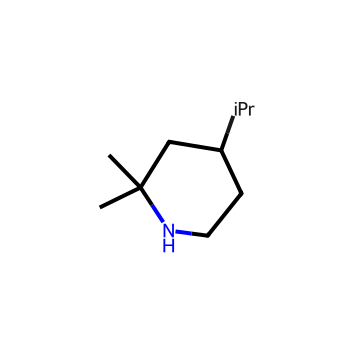 CC(C)C1CCNC(C)(C)C1